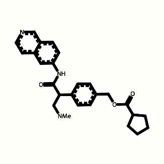 CNCC(C(=O)Nc1ccc2cnccc2c1)c1ccc(COC(=O)C2CCCC2)cc1